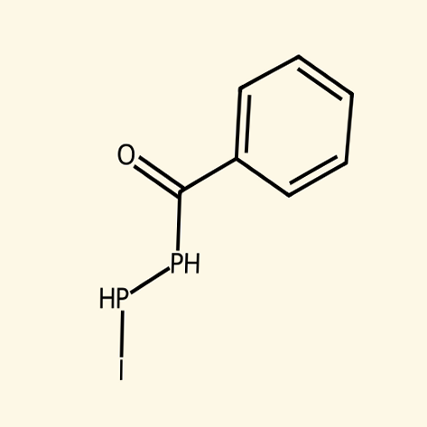 O=C(PPI)c1ccccc1